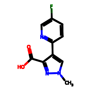 Cn1cc(-c2ccc(F)cn2)c(C(=O)O)n1